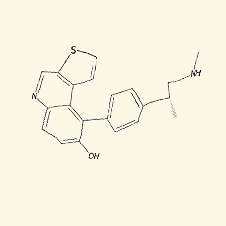 CNC[C@H](C)c1ccc(-c2c(O)ccc3ncc4sccc4c23)cc1